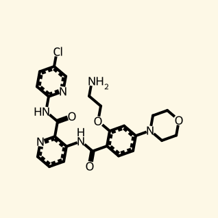 NCCOc1cc(N2CCOCC2)ccc1C(=O)Nc1cccnc1C(=O)Nc1ccc(Cl)cn1